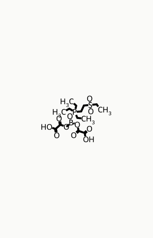 CCS(=O)(=O)CCP(CC)(CC)(CC)OB(OC(=O)C(=O)O)OC(=O)C(=O)O